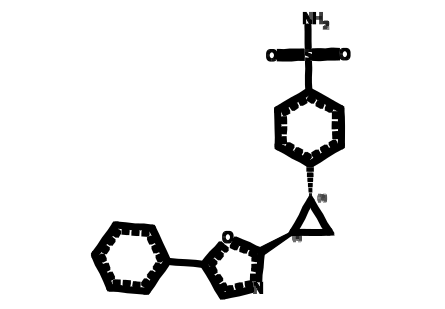 NS(=O)(=O)c1ccc([C@@H]2C[C@H]2c2ncc(-c3ccccc3)o2)cc1